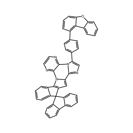 c1ccc2c(c1)-c1ccccc1C21c2ccccc2-c2c1cc1c3ncc(-c4ccc(-c5cccc6oc7ccccc7c56)cc4)n3c3nccnc3n21